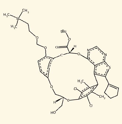 Cc1c(Cl)c2c(Cl)c(C)c1-c1c(C3=CCCC3)sc3ncnc(c13)O[C@@H](C(=O)OC(C)(C)C)Cc1cc(ccc1OCOCC[Si](C)(C)C)OC[C@@H](CO)O2